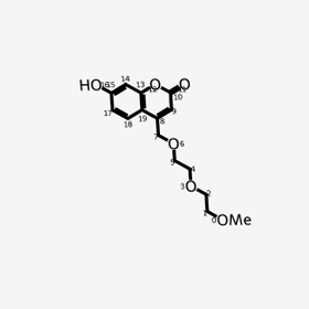 COCCOCCOCc1cc(=O)oc2cc(O)ccc12